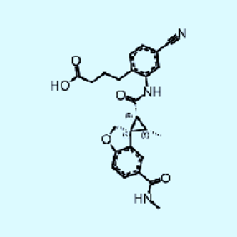 CNC(=O)c1ccc2c(c1)[C@@]1(CO2)[C@H](C(=O)Nc2cc(C#N)ccc2CCCC(=O)O)[C@@H]1C